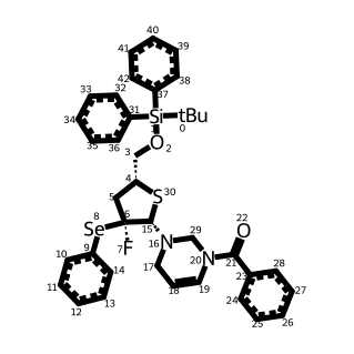 CC(C)(C)[Si](OC[C@H]1C[C@](F)([Se]c2ccccc2)[C@@H](N2CC=CN(C(=O)c3ccccc3)C2)S1)(c1ccccc1)c1ccccc1